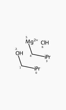 CC(C)CO.CC(C)[CH2][Mg+2].Cl